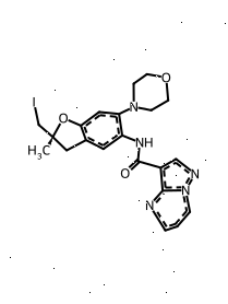 C[C@]1(CI)Cc2cc(NC(=O)c3cnn4cccnc34)c(N3CCOCC3)cc2O1